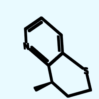 C[C@@H]1CCSc2cccnc21